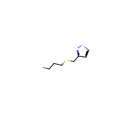 NCCCSCc1cc[nH]n1